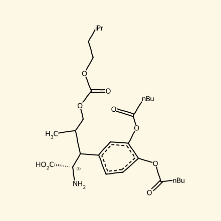 CCCCC(=O)Oc1ccc(C(C(C)COC(=O)OCCC(C)C)[C@H](N)C(=O)O)cc1OC(=O)CCCC